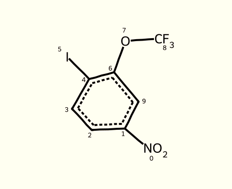 O=[N+]([O-])c1ccc(I)c(OC(F)(F)F)c1